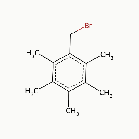 Cc1c(C)c(C)c(CBr)c(C)c1C